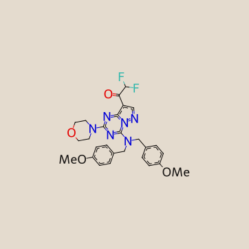 COc1ccc(CN(Cc2ccc(OC)cc2)c2nc(N3CCOCC3)nc3c(C(=O)C(F)F)cnn23)cc1